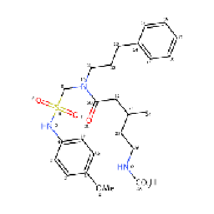 COc1ccc(NS(=O)(=O)CN(CCCc2ccccc2)C(=O)CC(C)CCNC(=O)O)cc1